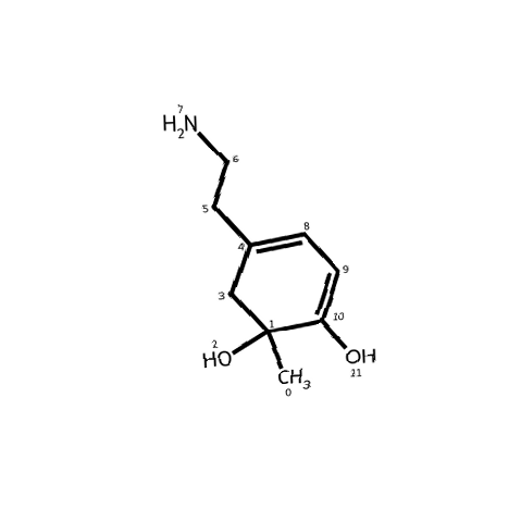 CC1(O)CC(CCN)=CC=C1O